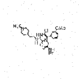 COC1=CC=CC(C2=C(Cl)NC(NCCC3CCN(C)CC3)C(=O)N2CC(=O)NC(C)C)C1